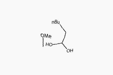 CCCCCC(O)O.COC